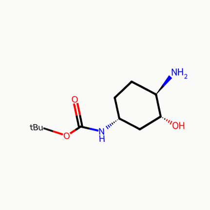 CC(C)(C)OC(=O)N[C@@H]1CC[C@@H](N)[C@H](O)C1